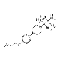 BC(B)(NC)C(B)(B)N1CCN(c2ccc(OCCOC)cc2)CC1